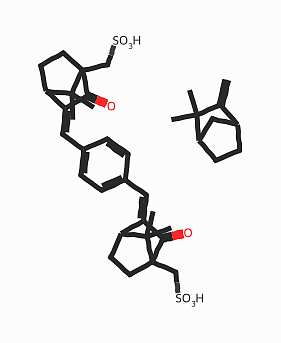 C=C1C2CCC(C2)C1(C)C.CC1(C)C2CCC1(CS(=O)(=O)O)C(=O)C2=Cc1ccc(C=C2C(=O)C3(CS(=O)(=O)O)CCC2C3(C)C)cc1